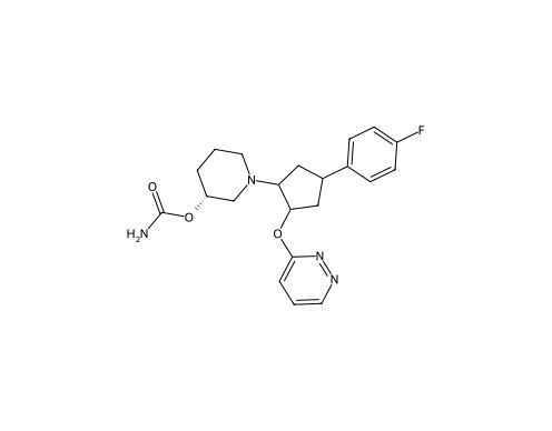 NC(=O)O[C@@H]1CCCN(C2CC(c3ccc(F)cc3)CC2Oc2cccnn2)C1